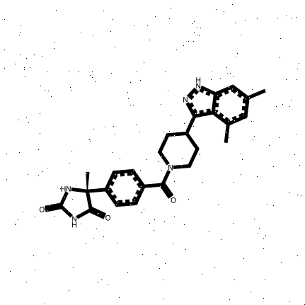 Cc1cc(C)c2c(C3CCN(C(=O)c4ccc([C@@]5(C)NC(=O)NC5=O)cc4)CC3)n[nH]c2c1